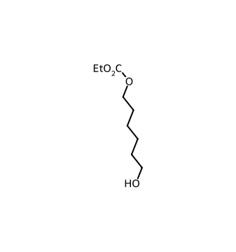 CCOC(=O)OCCCCCCO